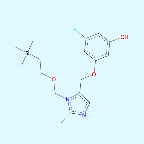 Cc1ncc(COc2cc(O)cc(F)c2)n1COCC[Si](C)(C)C